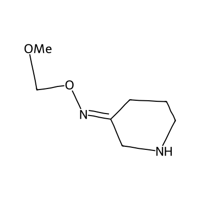 COCON=C1CCCNC1